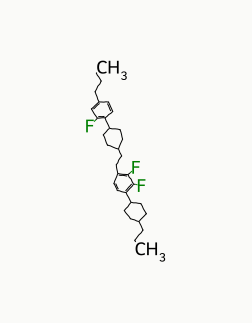 CCCCc1ccc(C2CCC(CCc3ccc(C4CCC(CCC)CC4)c(F)c3F)CC2)c(F)c1